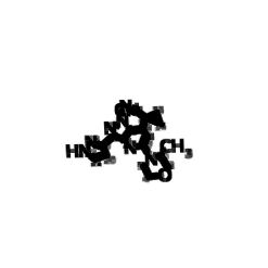 C[C@@H]1COCCN1c1cc(C2(C#N)CC2)c2c(n1)c(-c1cc[nH]n1)nn2C